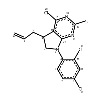 C=CCC1CN(c2ccc(Cl)cc2Cl)c2nc(C)nc(Cl)c21